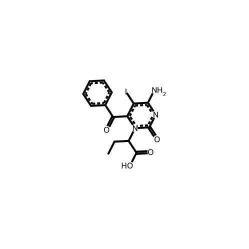 CCC(C(=O)O)n1c(C(=O)c2ccccc2)c(I)c(N)nc1=O